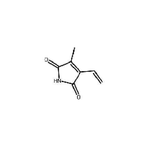 C=CC1=C(C)C(=O)NC1=O